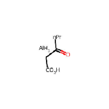 CCCC(=O)CC(=O)O.[AlH3]